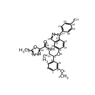 COc1cccc([C@H](Oc2ccc3c(cnn3-c3ccc(F)cc3)c2)[C@H](C)NC(=O)c2nnc(C)o2)c1